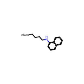 CCCCCCCCCCCCCNc1cccc2ccccc12